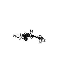 CCONC(=O)CCCCCCC(=O)Nc1ccc(S(=O)(=O)N[C@H](C(=O)O)c2ccccc2)cc1